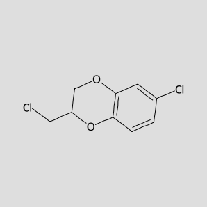 ClCC1COc2cc(Cl)ccc2O1